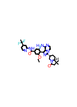 CCOc1cc(C(=O)Nc2cc(C(C)(F)F)ccn2)cc(F)c1-c1nc([C@@H]2CC[C@@H]3N(C2)C(=O)CC3(C)C)n2ccnc(N)c12